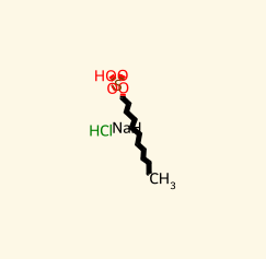 CCCCCCCCCCCCOS(=O)(=O)O.Cl.[NaH]